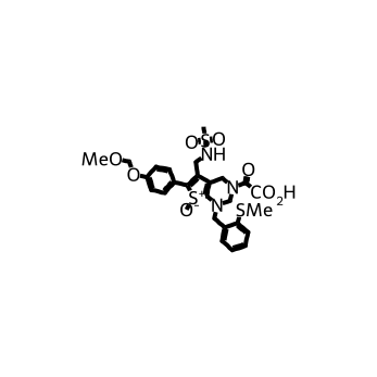 COCOc1ccc(-c2c(CNS(C)(=O)=O)c3c([s+]2[O-])N(Cc2ccccc2SC)CN(C(=O)C(=O)O)C3)cc1